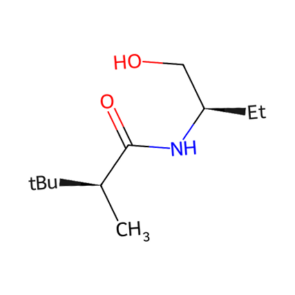 CC[C@H](CO)NC(=O)[C@@H](C)C(C)(C)C